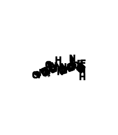 COc1nc(Nc2nccc(-c3ccc(OC4CCNCC4(F)F)c(C#N)c3)n2)ccc1N1CCN(C2COC2)C[C@H]1C